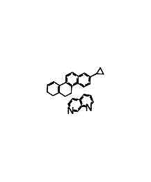 C1=CC2=C(CC1)CCc1c2ccc2cc(C3CC3)ccc12.c1cnc2cnccc2c1